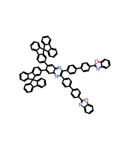 c1ccc2c(c1)-c1ccccc1C21c2ccccc2-c2ccc(-c3cc4nc(-c5ccc(-c6ccc(-c7nc8ccccc8o7)cc6)cc5)c(-c5ccc(-c6ccc(-c7nc8ccccc8o7)cc6)cc5)nc4cc3-c3ccc4c(c3)C3(c5ccccc5-c5ccccc53)c3ccccc3-4)cc21